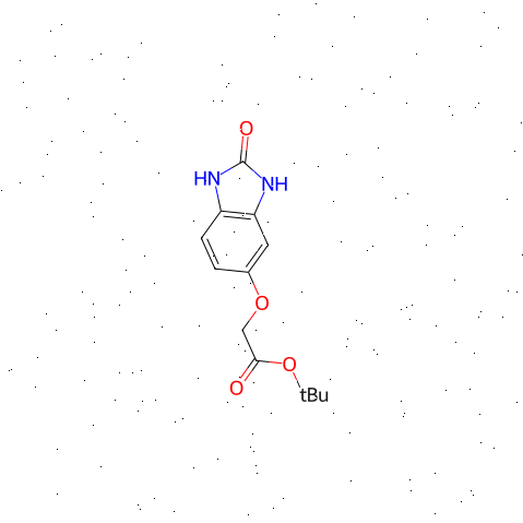 CC(C)(C)OC(=O)COc1ccc2[nH]c(=O)[nH]c2c1